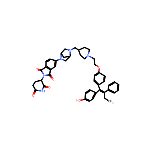 CCC(=C(c1ccc(O)cc1)c1ccc(OCCN2CCC(CN3CC4CC3CN4c3ccc4c(c3)C(=O)N(C3CCC(=O)NC3=O)C4=O)CC2)cc1)c1ccccc1